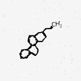 C=CCC1=CCc2c3c(ccc2=C1)=c1ccccc1=CC3